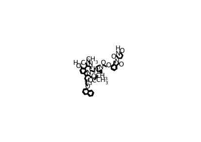 Cc1nn(C)c(C)c1-c1c(Cl)ccc2c(CCCOc3cccc4ccccc34)c(C(=O)OC(C)(C)C)n(CCN3CCN(C(=O)COc4cccc5c4CN(C4CCC(=O)NC4=O)C5=O)C4CC43)c12